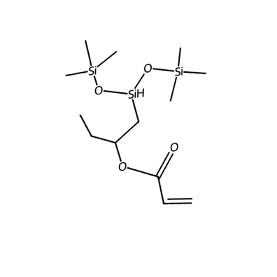 C=CC(=O)OC(CC)C[SiH](O[Si](C)(C)C)O[Si](C)(C)C